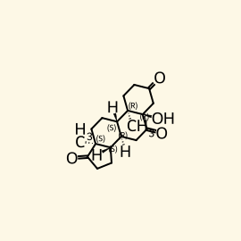 C[C@]12CC[C@H]3[C@@H](CC(=O)[C@@]4(O)CC(=O)CC[C@]34C)[C@@H]1CCC2=O